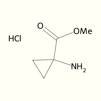 COC(=O)C1(N)CC1.Cl